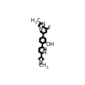 Cc1cn2cc(-c3ccc(-c4ccc(C5CN(C)C5)nn4)c(O)c3)cc(F)c2n1